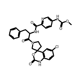 COC(=O)Nc1ccc(C(=O)NC(Cc2ccccc2)C(=O)N2CCC3(C2)OC(=O)Nc2ccc(Cl)cc23)nc1